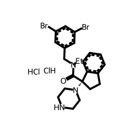 CCN(Cc1cc(Br)cc(Br)c1)C(=O)[C@]1(N2CCNCC2)CCc2ccccc21.Cl.Cl